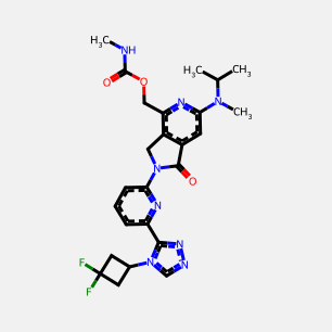 CNC(=O)OCc1nc(N(C)C(C)C)cc2c1CN(c1cccc(-c3nncn3C3CC(F)(F)C3)n1)C2=O